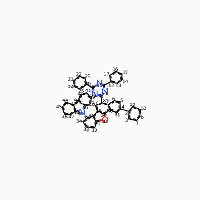 c1ccc(-c2ccc3c(-c4nc(-c5ccccc5)nc(-c5ccccc5)n4)cc4c(oc5cccc(-n6c7ccccc7c7ccccc76)c54)c3c2)cc1